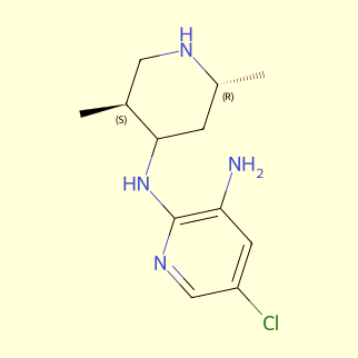 C[C@@H]1CC(Nc2ncc(Cl)cc2N)[C@@H](C)CN1